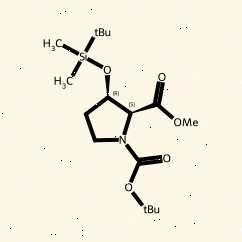 COC(=O)[C@@H]1[C@H](O[Si](C)(C)C(C)(C)C)CCN1C(=O)OC(C)(C)C